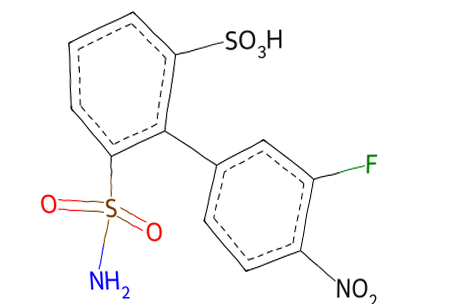 NS(=O)(=O)c1cccc(S(=O)(=O)O)c1-c1ccc([N+](=O)[O-])c(F)c1